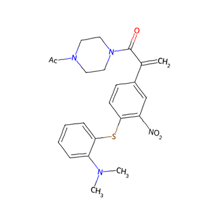 C=C(C(=O)N1CCN(C(C)=O)CC1)c1ccc(Sc2ccccc2N(C)C)c([N+](=O)[O-])c1